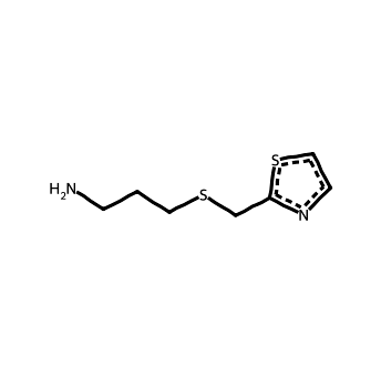 NCCCSCc1nccs1